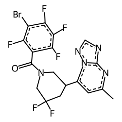 Cc1cc(C2CN(C(=O)c3c(F)c(F)c(F)c(Br)c3F)CC(F)(F)C2)n2ncnc2n1